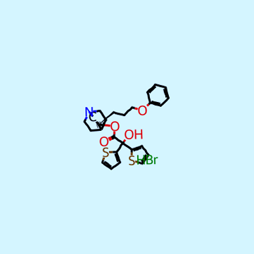 Br.O=C(O[C@@]1(CCCOc2ccccc2)CN2CCC1CC2)C(O)(c1cccs1)c1cccs1